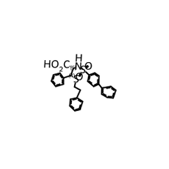 O=C(O)[C@H](NS(=O)(=O)c1ccc(-c2ccccc2)cc1)[C@H](SCCc1ccccc1)c1ccccc1